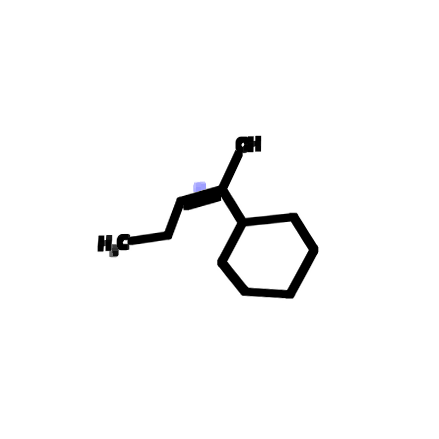 CC/C=C(/O)C1CCCCC1